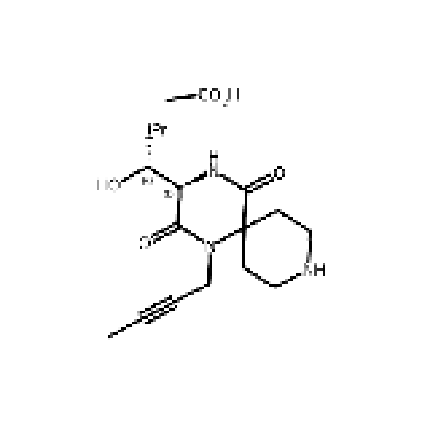 CC#CCN1C(=O)[C@@H]([C@H](O)C(C)C)NC(=O)C12CCNCC2.CC(=O)O